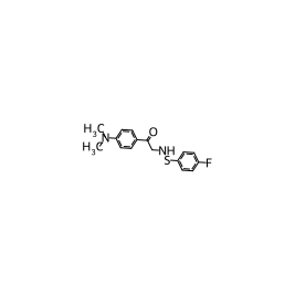 CN(C)c1ccc(C(=O)CNSc2ccc(F)cc2)cc1